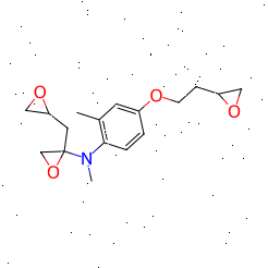 Cc1cc(OCCC2CO2)ccc1N(C)C1(CC2CO2)CO1